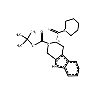 CC(C)(C)OC(=O)N1Cc2[nH]c3ccccc3c2C[C@H]1C(=O)N1CCCCC1